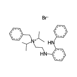 CC(C)[N+](CCNc1ccccc1Nc1ccccc1)(Cc1ccccc1)C(C)C.[Br-]